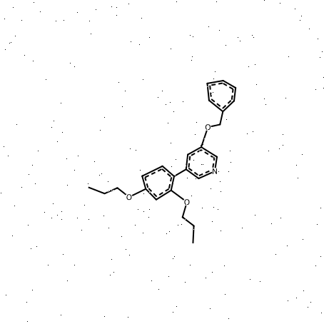 CCCOc1ccc(-c2cncc(OCc3ccccc3)c2)c(OCCC)c1